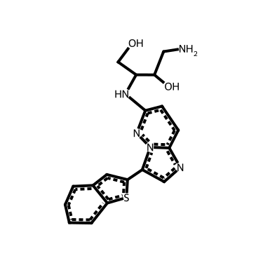 NCC(O)C(CO)Nc1ccc2ncc(-c3cc4ccccc4s3)n2n1